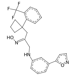 ON=C(CNc1cccc(-c2ccno2)c1)CC1(c2ccccc2C(F)(F)F)CCC1